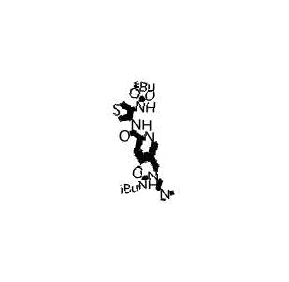 CCC(C)NC(=O)N(CCN(C)C)Cc1ccc(C(=O)Nc2cscc2NC(=O)OC(C)(C)C)nc1